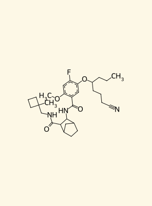 CCCC(CCCC#N)Oc1cc(C(=O)NC2C3CCC(C3)C2C(=O)NCC2(C)CCC2)c(OC)cc1F